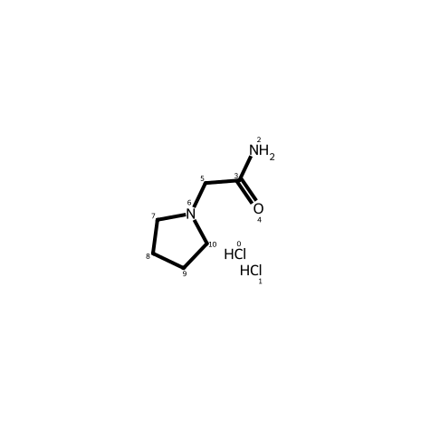 Cl.Cl.NC(=O)CN1CCCC1